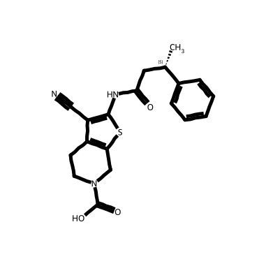 C[C@@H](CC(=O)Nc1sc2c(c1C#N)CCN(C(=O)O)C2)c1ccccc1